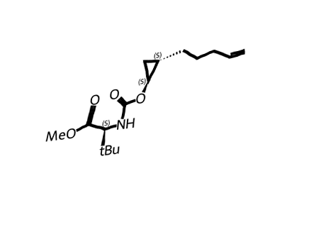 C=CCCC[C@H]1C[C@@H]1OC(=O)N[C@H](C(=O)OC)C(C)(C)C